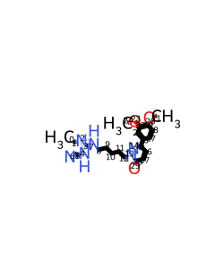 CC/N=C(\NC#N)NCCCCCn1nc(-c2ccc(OC)c(OC)c2)ccc1=O